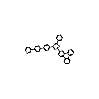 c1ccc(-c2nc(-c3ccc(-c4ccc(-c5cccnc5)cc4)cc3)cc(-c3ccc4c5ccccc5c5ccccc5c4c3)n2)cc1